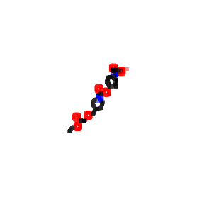 CCOC(=O)COCC1CCN(C(=O)Oc2ccc([N+](=O)[O-])cc2)CC1